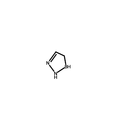 B1CC=NN1